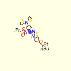 CCCCC(CC)COc1ccc2nc(/N=N/c3ccc(N(c4cccs4)c4cccs4)cc3NS(=O)(=O)CC(C)C)sc2c1